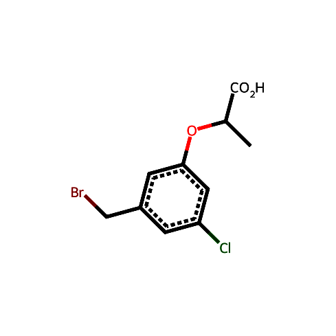 CC(Oc1cc(Cl)cc(CBr)c1)C(=O)O